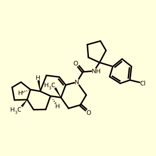 C[C@@]12CCC[C@H]1[C@@H]1CC=C3N(C(=O)NC4(c5ccc(Cl)cc5)CCCC4)CC(=O)C[C@]3(C)[C@H]1CC2